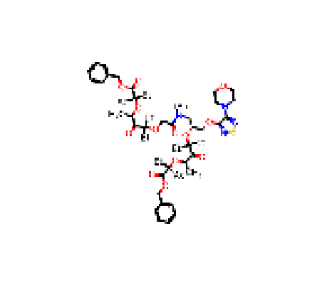 CCC(CC)(OCC(=O)N(C[C@@H](COc1nsnc1N1CCOCC1)OC(CC)(CC)C(=O)C(C)OC(CC)(C(C)=O)C(=O)OCc1ccccc1)C(C)(C)C)C(=O)C(C)OC(CC)(C(C)=O)C(=O)OCc1ccccc1